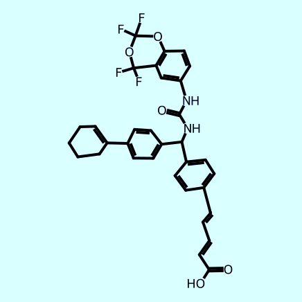 O=C(O)C=CC=Cc1ccc(C(NC(=O)Nc2ccc3c(c2)C(F)(F)OC(F)(F)O3)c2ccc(C3=CCCCC3)cc2)cc1